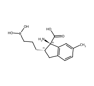 Cc1ccc2c(c1)[C@@](N)(C(=O)O)[C@@H](CCCB(O)O)C2